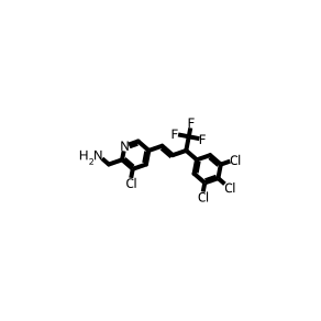 NCc1ncc(C=CC(c2cc(Cl)c(Cl)c(Cl)c2)C(F)(F)F)cc1Cl